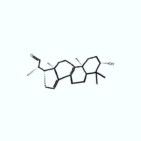 C[C@H](C=O)[C@H]1CC=C2C3=C(CC[C@@]21C)[C@@]1(C)CC[C@H](O)C(C)(C)C1CC3